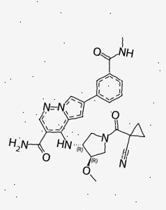 CNC(=O)c1cccc(-c2cc3c(N[C@@H]4CN(C(=O)C5(C#N)CC5)C[C@H]4OC)c(C(N)=O)cnn3c2)c1